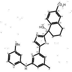 Cc1cc(Nc2cc(C(C)(C)C)ccn2)nc(-c2cnc([C@]3(O)CCCc4cc(C(=O)O)ccc43)s2)c1